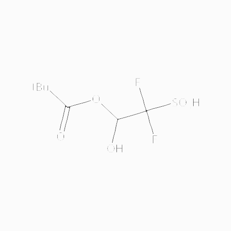 CC(C)(C)C(=O)OC(O)C(F)(F)S(=O)(=O)O